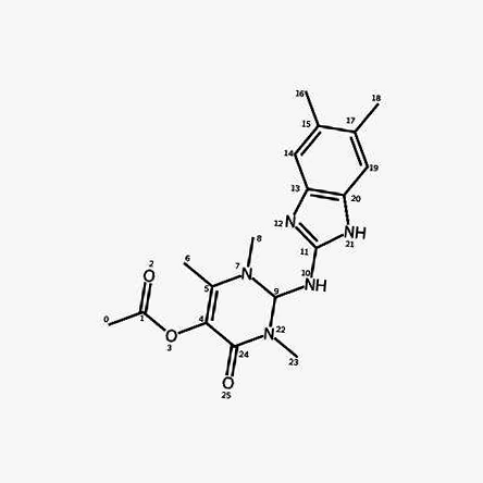 CC(=O)OC1=C(C)N(C)C(Nc2nc3cc(C)c(C)cc3[nH]2)N(C)C1=O